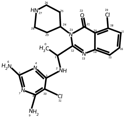 CC(Nc1nc(N)nc(N)c1Cl)c1nc2cccc(Cl)c2c(=O)n1C1CCNCC1